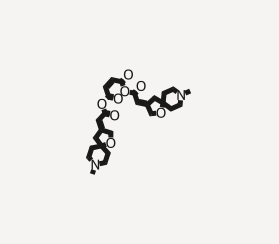 CN1CCC2(CC1)CC(=CC(=O)OC(=O)/C=C\C(=O)OC(=O)C=C1COC3(CCN(C)CC3)C1)CO2